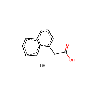 O=C(O)Cc1cccc2ccccc12.[LiH]